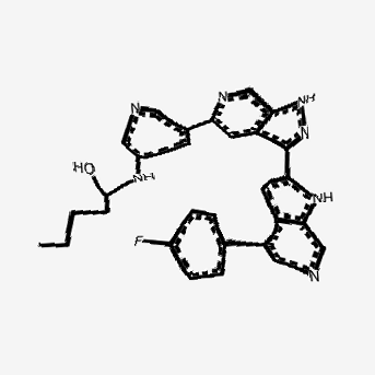 CCCCC(O)Nc1cncc(-c2cc3c(-c4cc5c(-c6ccc(F)cc6)cncc5[nH]4)n[nH]c3cn2)c1